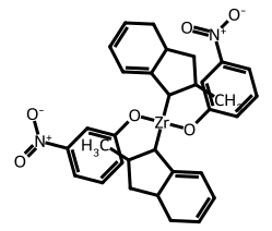 CC1CC2CC=CC=C2[CH]1[Zr]([O]c1cccc([N+](=O)[O-])c1)([O]c1cccc([N+](=O)[O-])c1)[CH]1C2=CC=CCC2CC1C